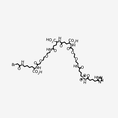 O=C(CBr)NCCCCC(NC(=O)COCCOCCNC(=O)CCC(NC(=O)CCC(NC(=O)COCCOCCNC(=O)CCCS(=O)(=O)NC(=O)CCCc1nnn[nH]1)C(=O)O)C(=O)O)C(=O)O